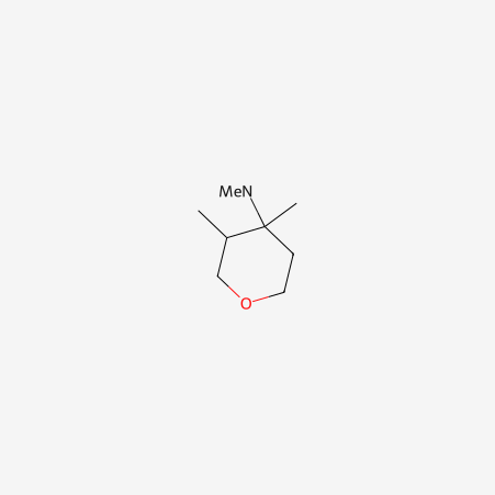 CNC1(C)CCOCC1C